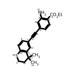 CCOC(=O)c1ccc(C#Cc2ccc3c(c2)C(C)(C)CCS3)cc1N